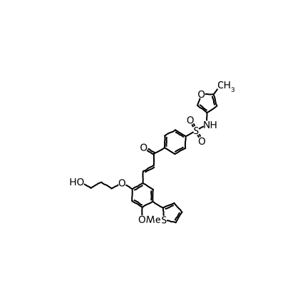 COc1cc(OCCCO)c(/C=C/C(=O)c2ccc(S(=O)(=O)Nc3coc(C)c3)cc2)cc1-c1cccs1